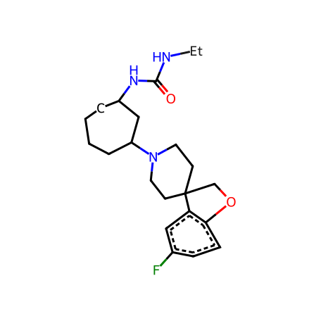 CCNC(=O)NC1CCCCC(N2CCC3(CC2)COc2ccc(F)cc23)C1